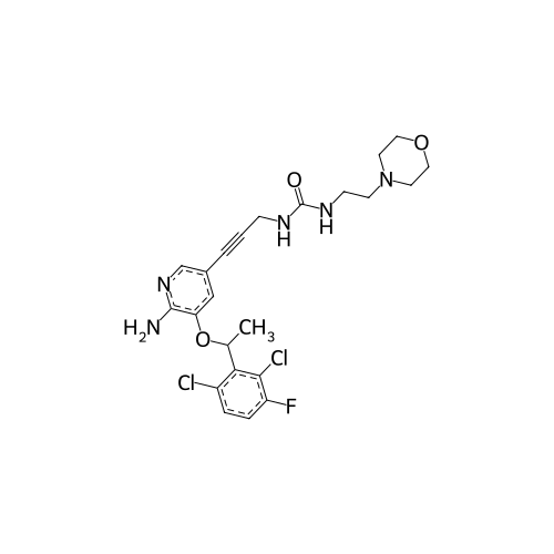 CC(Oc1cc(C#CCNC(=O)NCCN2CCOCC2)cnc1N)c1c(Cl)ccc(F)c1Cl